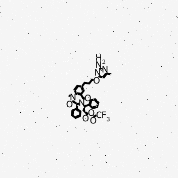 Cc1cc(OCCCc2ccc3c(c2)C(=O)N(C(CC(=O)OC(=O)C(F)(F)F)c2ccccc2)C(c2ccccc2)C(=O)N3C)nc(N)n1